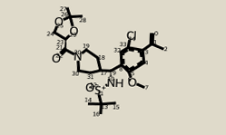 C=C(C)c1cc(OC)c([C@H](N[S@@+]([O-])C(C)(C)C)C2CCN(C(=O)[C@H]3COC(C)(C)O3)CC2)cc1Cl